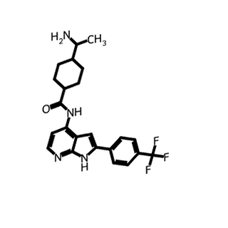 CC(N)C1CCC(C(=O)Nc2ccnc3[nH]c(-c4ccc(C(F)(F)F)cc4)cc23)CC1